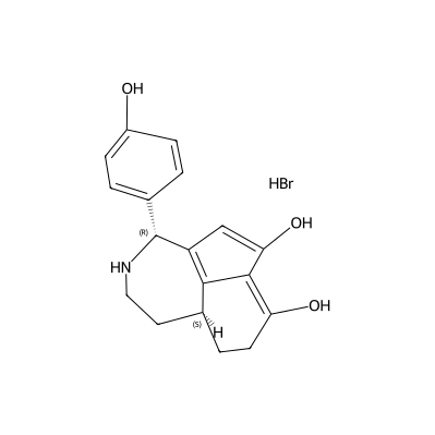 Br.OC1=CC2=C3C1=C(O)CC[C@H]3CCN[C@@H]2c1ccc(O)cc1